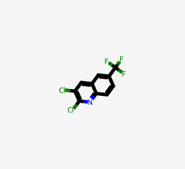 FC(F)(F)c1ccc2nc(Cl)c(Cl)cc2c1